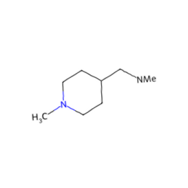 [CH2]NCC1CCN(C)CC1